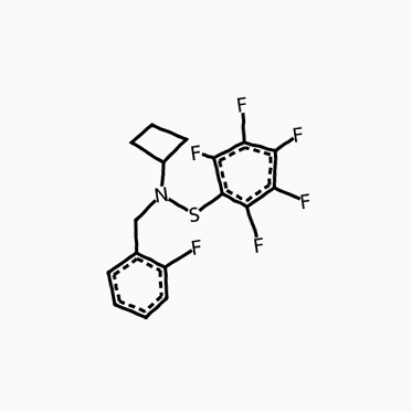 Fc1ccccc1CN(Sc1c(F)c(F)c(F)c(F)c1F)C1CCC1